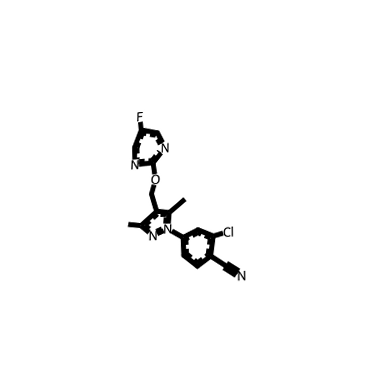 Cc1nn(-c2ccc(C#N)c(Cl)c2)c(C)c1COc1ncc(F)cn1